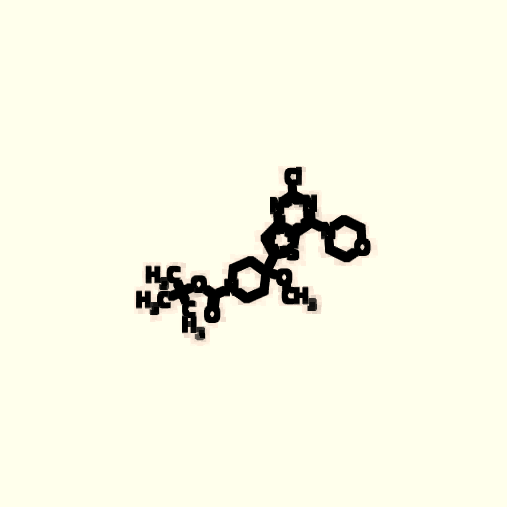 COC1(c2cc3nc(Cl)nc(N4CCOCC4)c3s2)CCN(C(=O)OC(C)(C)C)CC1